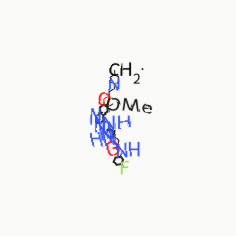 [CH2]C1CCN(CCCOc2cc3ncnc(Nc4cc(CC(=O)Nc5cccc(F)c5)[nH]n4)c3cc2OC)CC1